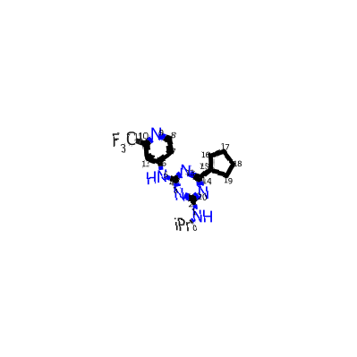 CC(C)Nc1nc(Nc2ccnc(C(F)(F)F)c2)nc(C2CCCC2)n1